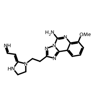 COc1cccc2c1nc(N)n1nc(CCN3CCN/C3=C\C=N)nc21